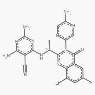 C[C@H](Nc1nc(N)nc(N)c1C#N)c1nc2c(Cl)cc(F)cc2c(=O)n1-c1cnc(N)cn1